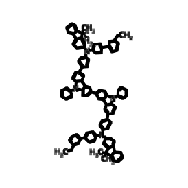 C=Cc1cccc(-c2ccc(N(c3ccc(-c4ccc5c(c4)c4cc(-c6ccc7c(c6)c6cc(-c8ccc(N(c9ccc(-c%10cccc(C=C)c%10)cc9)c9ccc%10c(c9)C(C)(C)c9ccccc9-%10)cc8)ccc6n7-c6ccccc6)ccc4n5-c4ccccc4)cc3)c3ccc4c(c3)C(C)(C)c3ccccc3-4)cc2)c1